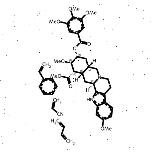 C=CC#N.C=CC=C.C=Cc1ccccc1.COC(=O)[C@H]1[C@H]2C[C@@H]3c4[nH]c5cc(OC)ccc5c4CCN3C[C@H]2C[C@@H](OC(=O)c2cc(OC)c(OC)c(OC)c2)[C@@H]1OC